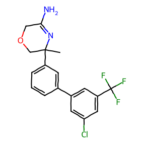 CC1(c2cccc(-c3cc(Cl)cc(C(F)(F)F)c3)c2)COCC(N)=N1